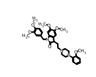 COc1ccc(CN2C(=O)C(CCN3CCN(c4ccccc4OC)CC3)c3cc(OC)c(OC)cc32)cc1OC